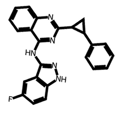 Fc1ccc2[nH]nc(Nc3nc(C4CC4c4ccccc4)nc4ccccc34)c2c1